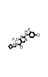 O=C(NCC1CCC1)c1cnc(Nc2ccc(Cl)cc2F)nc1C(F)(F)F